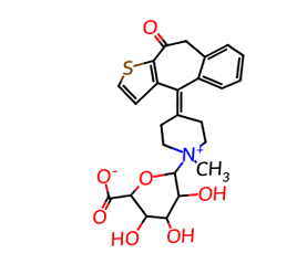 C[N+]1(C2OC(C(=O)[O-])C(O)C(O)C2O)CCC(=C2c3ccccc3CC(=O)c3sccc32)CC1